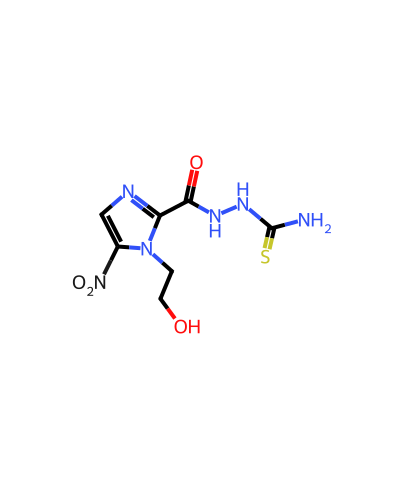 NC(=S)NNC(=O)c1ncc([N+](=O)[O-])n1CCO